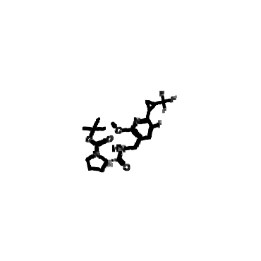 COc1nc(C2CC2C(F)(F)F)c(F)cc1CNC(=O)[C@@H]1CCCN1C(=O)OC(C)(C)C